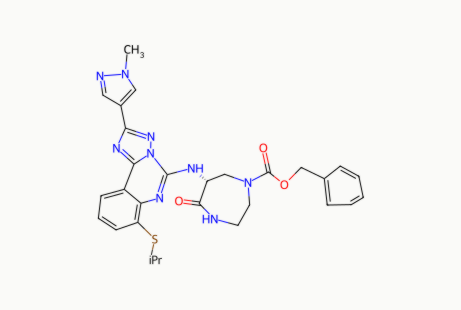 CC(C)Sc1cccc2c1nc(N[C@@H]1CN(C(=O)OCc3ccccc3)CCNC1=O)n1nc(-c3cnn(C)c3)nc21